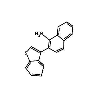 Nc1c(-c2csc3ccccc23)ccc2ccccc12